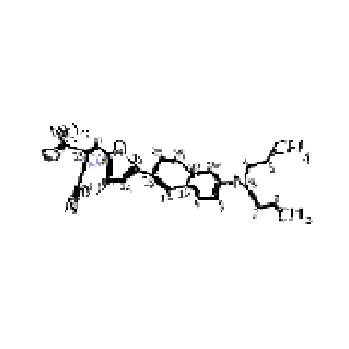 CCCN(CCC)c1ccc2cc(-c3ccc(/C=C(\C#N)C(N)=O)o3)ccc2c1